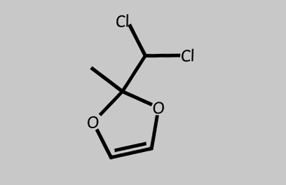 CC1(C(Cl)Cl)OC=CO1